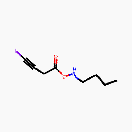 CCCCNOC(=O)CC#CI